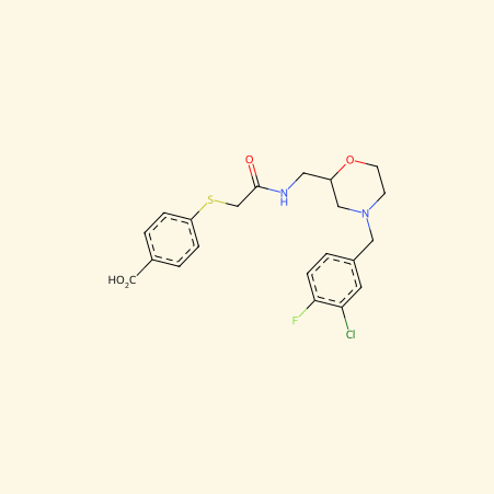 O=C(CSc1ccc(C(=O)O)cc1)NCC1CN(Cc2ccc(F)c(Cl)c2)CCO1